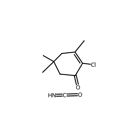 CC1=C(Cl)C(=O)CC(C)(C)C1.N=C=O